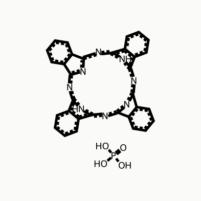 O=P(O)(O)O.c1ccc2c(c1)-c1nc-2nc2[nH]c(nc3nc(nc4[nH]c(n1)c1ccccc41)-c1ccccc1-3)c1ccccc21